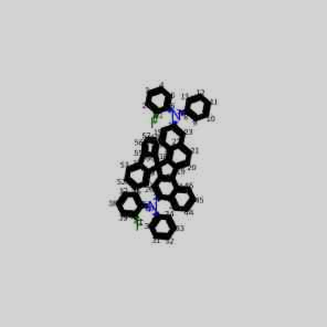 Fc1ccccc1N(c1ccccc1)c1ccc2c3c(ccc2c1)-c1c(cc(N(c2ccccc2)c2ccccc2F)c2ccccc12)C31c2ccccc2-c2ccccc21